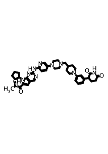 CN(C)C(=O)c1cc2cnc(Nc3ccc(N4CCN(CC5CCN(c6cccc(C7CCC(=O)NC7=O)c6)CC5)CC4)cn3)nc2n1C1CCCC1